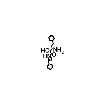 N[C@H](CCc1ccccc1)C(O)C(=O)NOCc1ccccc1